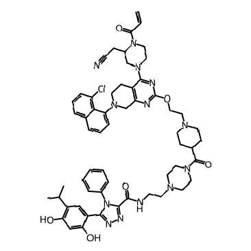 C=CC(=O)N1CCN(c2nc(OCCN3CCC(C(=O)N4CCN(CCNC(=O)c5nnc(-c6cc(C(C)C)c(O)cc6O)n5-c5ccccc5)CC4)CC3)nc3c2CCN(c2cccc4cccc(Cl)c24)C3)CC1CC#N